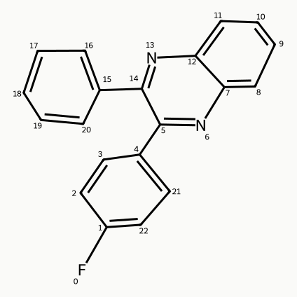 Fc1ccc(-c2nc3ccccc3nc2-c2ccccc2)cc1